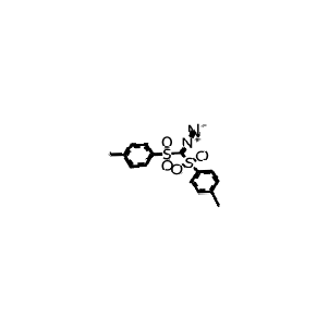 Cc1ccc(S(=O)(=O)C(=[N+]=[N-])S(=O)(=O)c2ccc(C)cc2)cc1